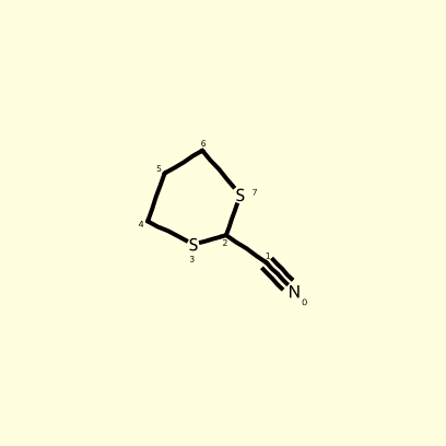 N#C[C]1SCCCS1